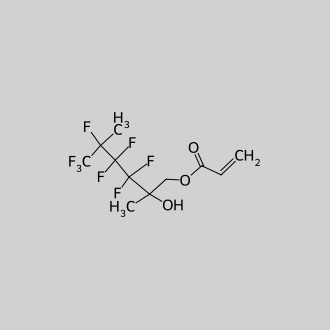 C=CC(=O)OCC(C)(O)C(F)(F)C(F)(F)C(C)(F)C(F)(F)F